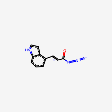 [N-]=[N+]=NC(=O)/C=C/c1cccc2[nH]ccc12